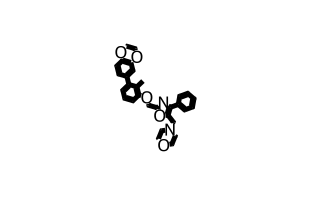 Cc1c(OCc2nc(-c3ccccc3)c(CN3CCOCC3)o2)cccc1-c1ccc2c(c1)OCCO2